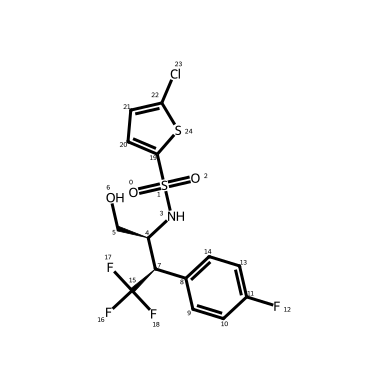 O=S(=O)(N[C@H](CO)[C@@H](c1ccc(F)cc1)C(F)(F)F)c1ccc(Cl)s1